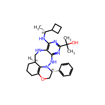 C[C@@H](Nc1nc(C(C)(C)O)nc2c1NC[C@@H]1CCCC3=C1N(N2)[C@H](c1ccccc1)CO3)C1CCC1